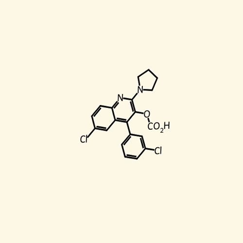 O=C(O)Oc1c(N2CCCC2)nc2ccc(Cl)cc2c1-c1cccc(Cl)c1